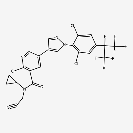 N#CCN(C(=O)c1cc(-c2cnn(-c3c(Cl)cc(C(F)(C(F)(F)F)C(F)(F)F)cc3Cl)c2)cnc1Cl)C1CC1